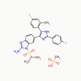 CS(=O)(=O)O.Cc1cc(F)ccc1-c1[nH]c(-c2ccc(F)cc2)nc1-c1ccc2nc(N)n(S(=O)(=O)C(C)C)c2c1